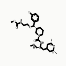 CNC[C@H](CC1C[C@@H](C)O[C@@H](C)C1)NC(=O)N1CCC[C@@H](C(OCCNC(=O)OC)c2cccc(F)c2)C1